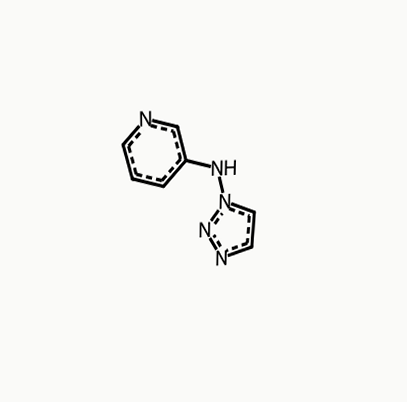 c1cncc(Nn2ccnn2)c1